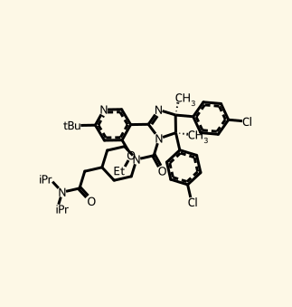 CCOc1cc(C(C)(C)C)ncc1C1=N[C@@](C)(c2ccc(Cl)cc2)[C@@](C)(c2ccc(Cl)cc2)N1C(=O)N1CCC(CC(=O)N(C(C)C)C(C)C)CC1